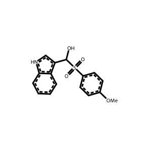 COc1ccc(S(=O)(=O)C(O)c2c[nH]c3ccccc23)cc1